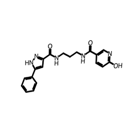 O=C(NCCCNC(=O)c1cc(-c2ccccc2)[nH]n1)c1ccc(O)nc1